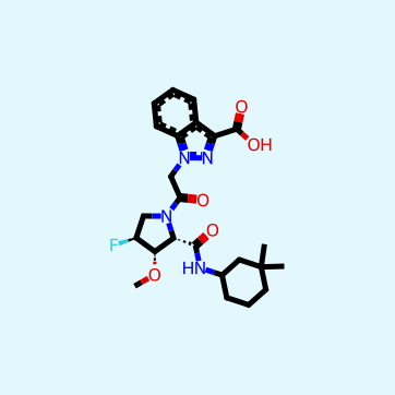 CO[C@H]1[C@@H](C(=O)NC2CCCC(C)(C)C2)N(C(=O)Cn2nc(C(=O)O)c3ccccc32)C[C@@H]1F